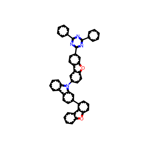 c1ccc(-c2nc(-c3ccccc3)nc(-c3ccc4c(c3)oc3ccc(-n5c6ccccc6c6ccc(-c7cccc8oc9ccccc9c78)cc65)cc34)n2)cc1